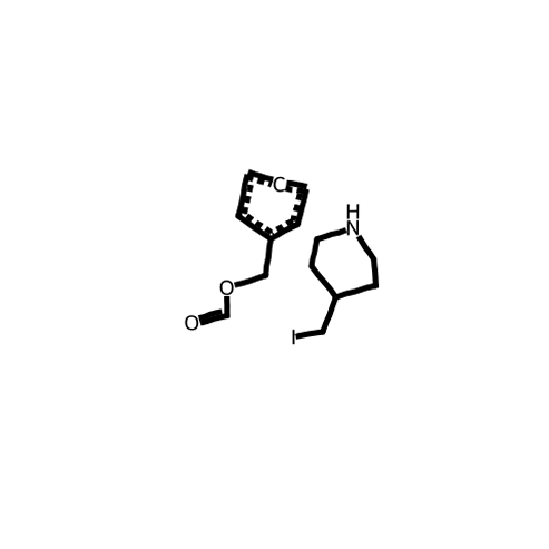 ICC1CCNCC1.O=COCc1ccccc1